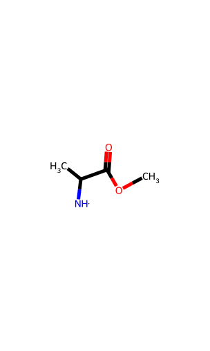 COC(=O)C(C)[NH]